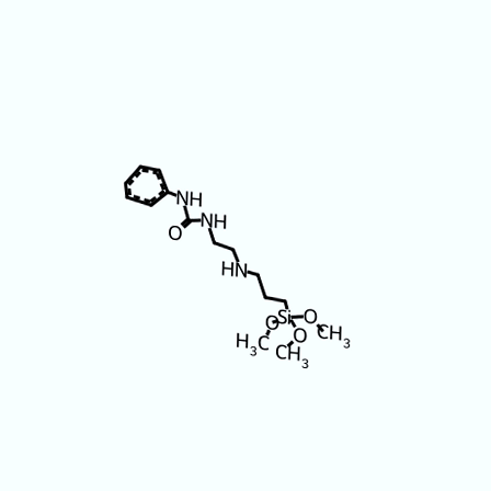 CO[Si](CCCNCCNC(=O)Nc1ccccc1)(OC)OC